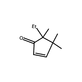 CCC1(C)C(=O)C=CC1(C)C